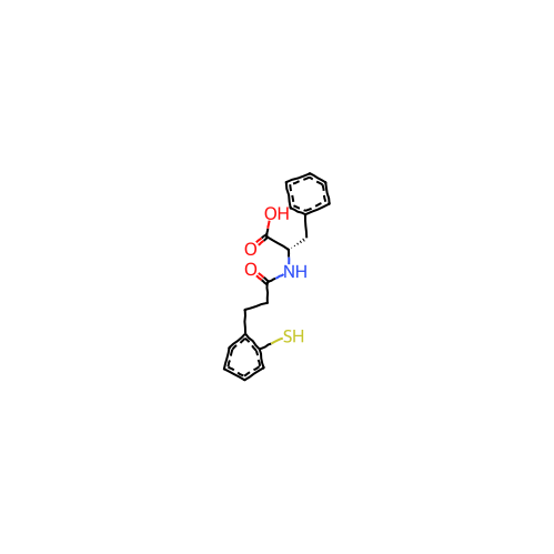 O=C(CCc1ccccc1S)N[C@@H](Cc1ccccc1)C(=O)O